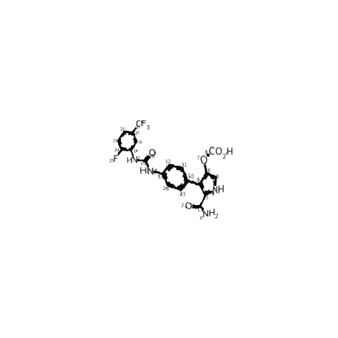 NC(=O)c1[nH]cc(OC(=O)O)c1-c1ccc(NC(=O)Nc2cc(C(F)(F)F)ccc2F)cc1